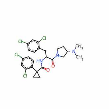 CN(C)[C@H]1CCN(C(=O)C(Cc2ccc(Cl)cc2Cl)NC(=O)C2(c3ccc(Cl)cc3Cl)CC2)C1